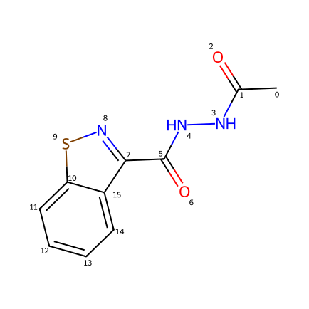 CC(=O)NNC(=O)c1nsc2ccccc12